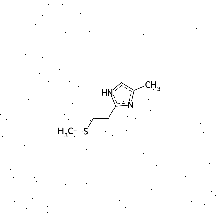 CSCCc1nc(C)c[nH]1